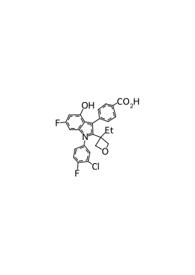 CCC1(c2c(-c3ccc(C(=O)O)cc3)c3c(O)cc(F)cc3n2-c2ccc(F)c(Cl)c2)COC1